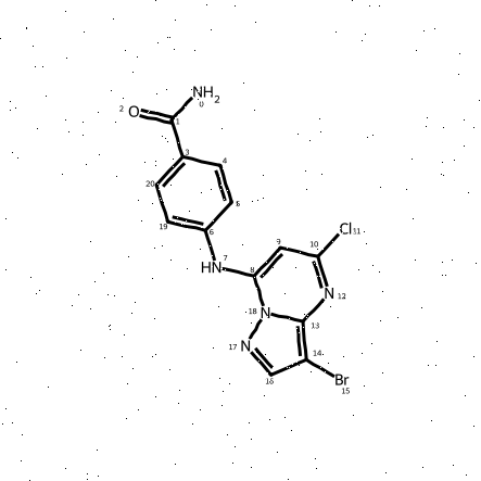 NC(=O)c1ccc(Nc2cc(Cl)nc3c(Br)cnn23)cc1